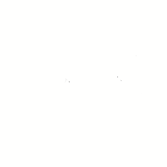 CC(=O)N(C1CC1)C1CC(C)N(Cc2ccccc2)c2ccccc21